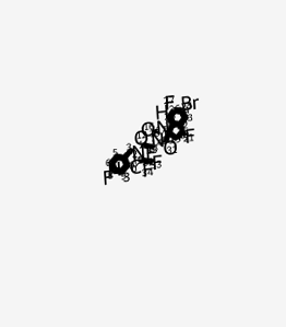 C[C@H](N(Cc1ccc(F)cc1)C(=O)CN1C(=O)NC2(C[C@H](F)c3cc(Br)c(F)cc32)C1=O)C(F)(F)F